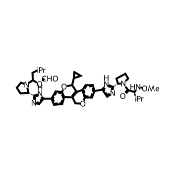 CON[C@H](C(=O)N1CCC[C@H]1c1ncc(-c2ccc3c(c2)OCC2=C3C(C3CC3)Oc3cc(-c4cnc([C@@H]5CCCN5C(CC(C)C)OC=O)[nH]4)ccc32)[nH]1)C(C)C